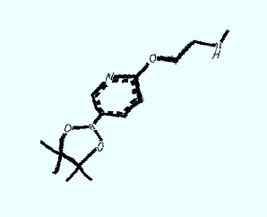 CNCCOc1ccc(B2OC(C)(C)C(C)(C)O2)cn1